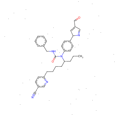 CCCC(CCCCc1ccc(C#N)cn1)N(C(=O)NCc1ccccc1)c1ccc(C2C=C(C=O)C=N2)cc1